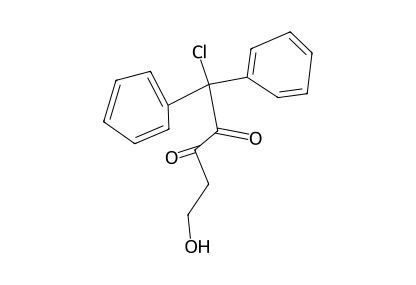 O=C(CCO)C(=O)C(Cl)(c1ccccc1)c1ccccc1